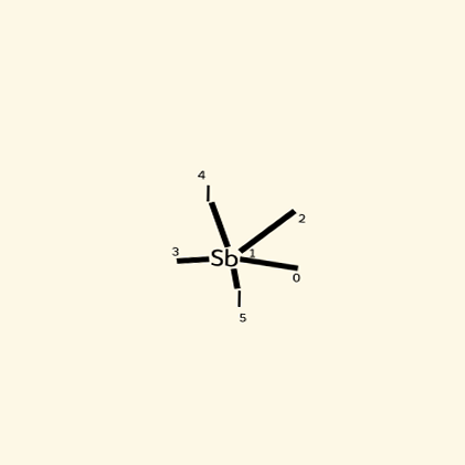 [CH3][Sb]([CH3])([CH3])([I])[I]